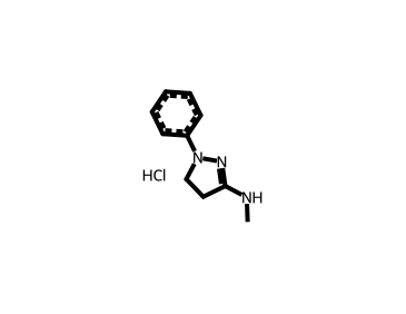 CNC1=NN(c2ccccc2)CC1.Cl